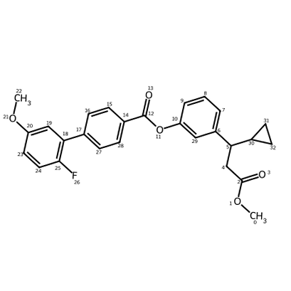 COC(=O)CC(c1cccc(OC(=O)c2ccc(-c3cc(OC)ccc3F)cc2)c1)C1CC1